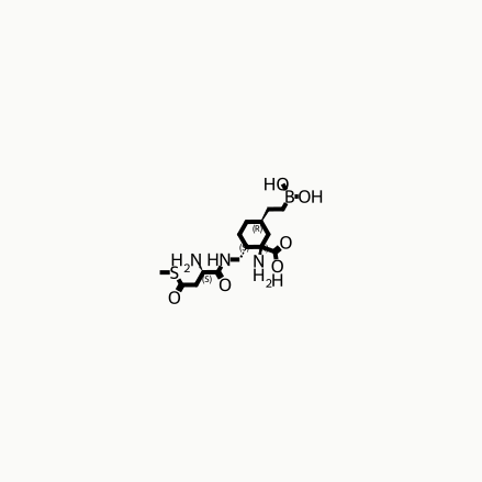 CSC(=O)C[C@H](N)C(=O)NC[C@@H]1CC[C@@H](CCB(O)O)C[C@]1(N)C(=O)O